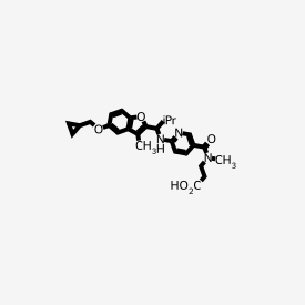 Cc1c(C(Nc2ccc(C(=O)N(C)CCC(=O)O)cn2)C(C)C)oc2ccc(OCC3CC3)cc12